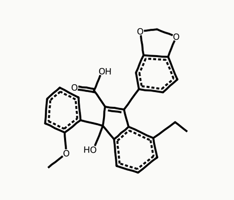 CCc1cccc2c1C(c1ccc3c(c1)OCO3)=C(C(=O)O)C2(O)c1ccccc1OC